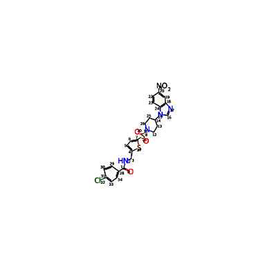 O=C(NCc1ccc(S(=O)(=O)N2CCC(n3cnc4cc([N+](=O)[O-])ccc43)CC2)s1)c1ccc(Cl)cc1